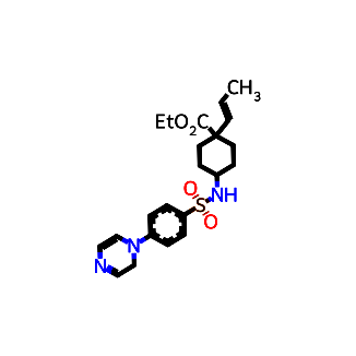 C/C=C/C1(C(=O)OCC)CCC(NS(=O)(=O)c2ccc(N3C=CN=CC3)cc2)CC1